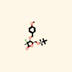 COc1ccc(CO[C@@H]2[C@@H](CO[Si](C)(C)C(C)(C)C)OC(=O)[C@]2(C)F)cc1